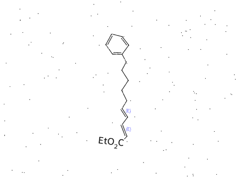 CCOC(=O)/C=C/C=C/CCCCCc1ccccc1